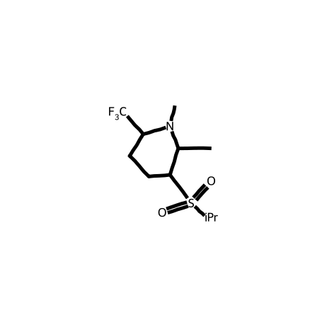 CC1C(S(=O)(=O)C(C)C)CCC(C(F)(F)F)N1C